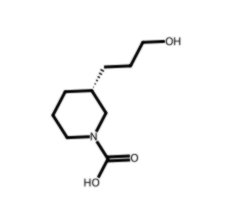 O=C(O)N1CCC[C@H](CCCO)C1